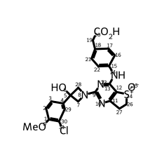 COc1ccc(C2(O)CN(c3nc4c(c(Nc5ccc(CC(=O)O)cc5)n3)[S@+]([O-])CC4)C2)cc1Cl